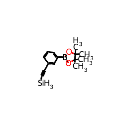 CC1(C)OB(c2cccc(C#C[SiH3])c2)OC1(C)C